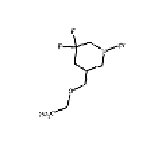 CC(C)N1CC(COCC(=O)O)CC(F)(F)C1